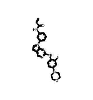 C=CC(=O)Nc1cccc(-n2ccc3cnc(Nc4ccc(N5CCOCC5)cc4F)nc32)c1